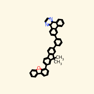 CC1(C)c2cc(-c3cccc(-c4ccc5c(c4)c4ccccc4c4nccnc54)c3)ccc2-c2ccc(-c3cccc4c3oc3ccccc34)cc21